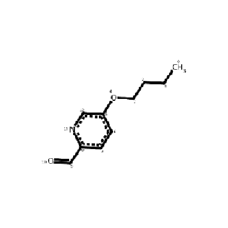 CCCCOc1ccc(C=O)nc1